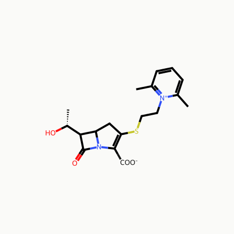 Cc1cccc(C)[n+]1CCSC1=C(C(=O)[O-])N2C(=O)C([C@@H](C)O)C2C1